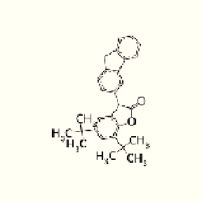 CC(C)(C)c1cc2c(c(C(C)(C)C)c1)OC(=O)C2c1ccc2c(c1)-c1ccccc1C2